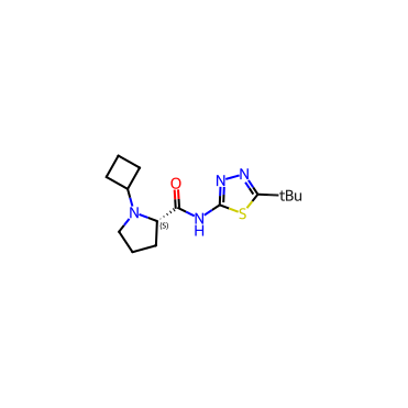 CC(C)(C)c1nnc(NC(=O)[C@@H]2CCCN2C2CCC2)s1